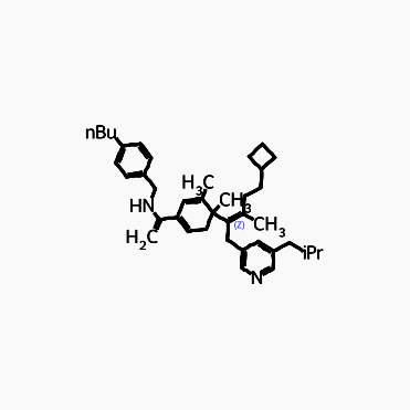 C=C(NCc1ccc(CCCC)cc1)C1=CCC(C)(/C(Cc2cncc(CC(C)C)c2)=C(/C)CCC2CCC2)C(C)=C1